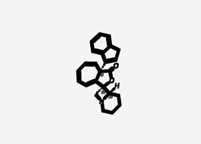 O=C1O[C@]2(CN3CCCC[C@H]32)C2=CC=CC=C[C@@]12C1=CCc2ccccc21